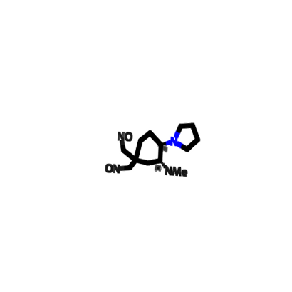 CN[C@@H]1CC(CN=O)(CN=O)CC[C@H]1N1CCCC1